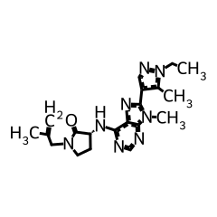 C=C(C)CN1CC[C@@H](Nc2ncnc3c2nc(-c2cnn(CC)c2C)n3C)C1=O